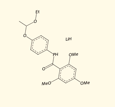 CCOC(C)Oc1ccc(PC(=O)c2c(OC)cc(OC)cc2OC)cc1.[LiH]